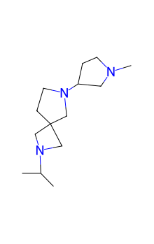 CC(C)N1CC2(CCN(C3CCN(C)C3)C2)C1